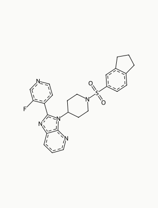 O=S(=O)(c1ccc2c(c1)CCC2)N1CCC(n2c(-c3ccncc3F)nc3cccnc32)CC1